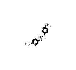 Cc1ccc(OBOc2ccc(C)nc2)cn1